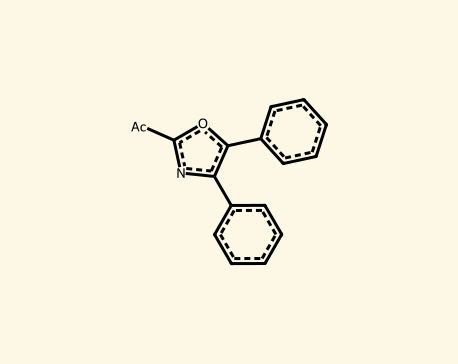 CC(=O)c1nc(-c2ccccc2)c(-c2ccccc2)o1